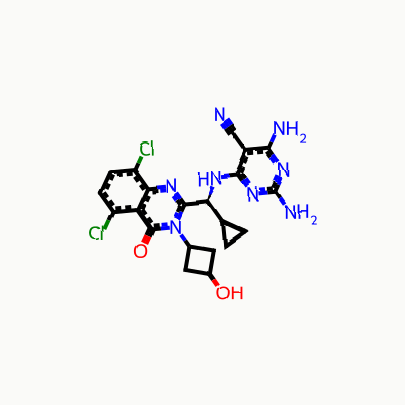 N#Cc1c(N)nc(N)nc1N[C@H](c1nc2c(Cl)ccc(Cl)c2c(=O)n1C1CC(O)C1)C1CC1